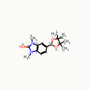 CN1c2ccc(B3OC(C)(C)C(C)(C)O3)cc2N(C)C1O